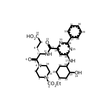 CCOC(=O)N1CCN(C(=O)[C@H](CCC(=O)O)NC(=O)c2cc(NC3CCCCC3O)nc(-c3ccccc3)n2)CC1